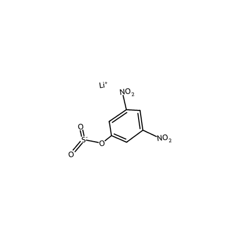 O=[N+]([O-])c1cc(O[S-](=O)=O)cc([N+](=O)[O-])c1.[Li+]